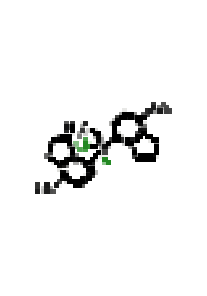 C[CH]=[Zr]([Cl])([Cl])([c]1ccc(C(C)(C)C)c2c1C=CC2)[c]1ccc(C(C)(C)C)c2c1C=CC2